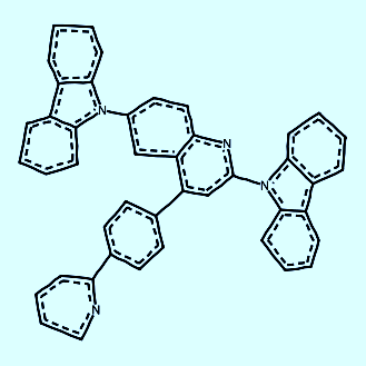 c1ccc(-c2ccc(-c3cc(-n4c5ccccc5c5ccccc54)nc4ccc(-n5c6ccccc6c6ccccc65)cc34)cc2)nc1